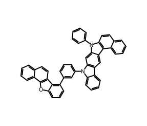 c1ccc(-n2c3cc4c(cc3c3c5ccccc5ccc32)c2ccccc2n4-c2cccc(-c3cccc4oc5c6ccccc6ccc5c34)c2)cc1